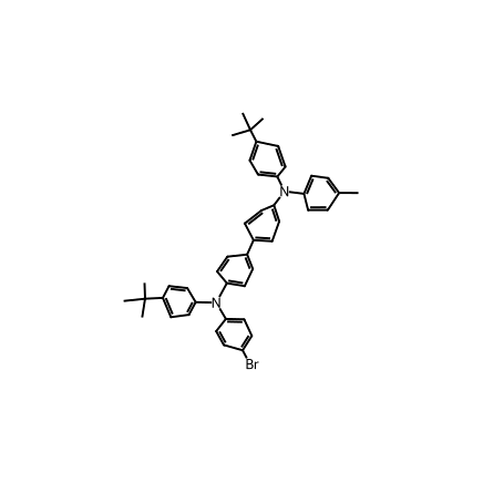 Cc1ccc(N(c2ccc(-c3ccc(N(c4ccc(Br)cc4)c4ccc(C(C)(C)C)cc4)cc3)cc2)c2ccc(C(C)(C)C)cc2)cc1